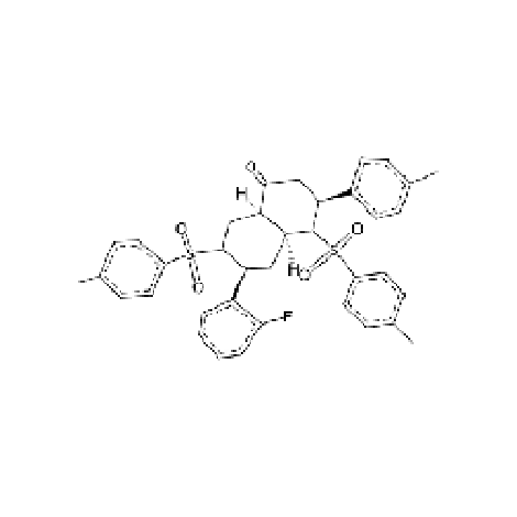 Cc1ccc([C@@H]2CC(=O)[C@@H]3CC(S(=O)(=O)c4ccc(C)cc4)[C@H](c4ccccc4F)C[C@@H]3C2S(=O)(=O)c2ccc(C)cc2)cc1